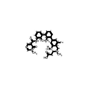 COc1cc(-c2cccc(-c3cccc(NC(=O)c4cncn(C)c4=O)c3C)c2C)cc(F)c1CN(C)CCC(=O)O